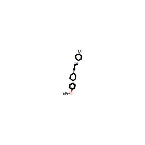 CCCOc1ccc([C@H]2CC[C@H](C#C/C=C/[C@H]3CC[C@H](CC)CC3)CC2)cc1